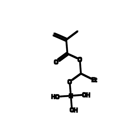 C=C(C)C(=O)OC(CC)O[Si](O)(O)O